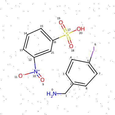 NCc1ccc(I)cc1.O=[N+]([O-])c1cccc(S(=O)(=O)O)c1